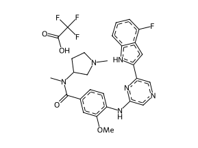 COc1cc(C(=O)N(C)C2CCN(C)C2)ccc1Nc1cncc(-c2cc3c(F)cccc3[nH]2)n1.O=C(O)C(F)(F)F